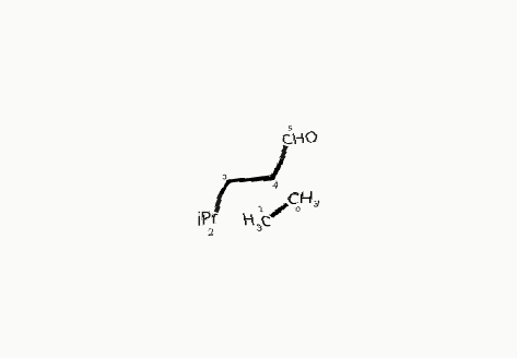 CC.CC(C)CCC=O